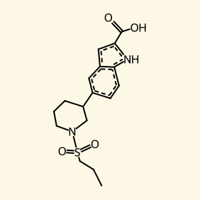 CCCS(=O)(=O)N1CCCC(c2ccc3[nH]c(C(=O)O)cc3c2)C1